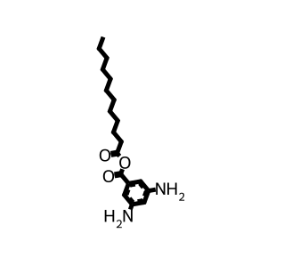 CCCCCCCCCCCC(=O)OC(=O)c1cc(N)cc(N)c1